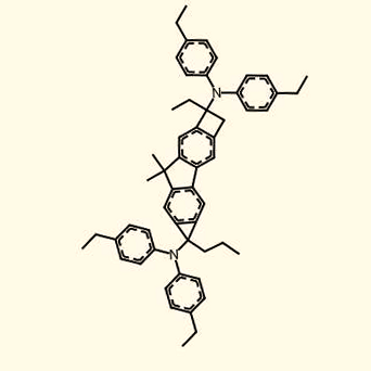 CCCC1(N(c2ccc(CC)cc2)c2ccc(CC)cc2)c2cc3c(cc21)C(C)(C)c1cc2c(cc1-3)CC2(CC)N(c1ccc(CC)cc1)c1ccc(CC)cc1